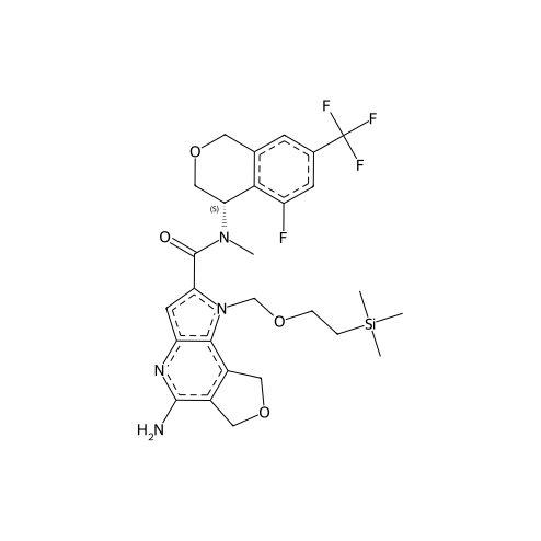 CN(C(=O)c1cc2nc(N)c3c(c2n1COCC[Si](C)(C)C)COC3)[C@@H]1COCc2cc(C(F)(F)F)cc(F)c21